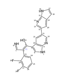 N=C/C(=C(\O)c1c[nH]c2ncc(-c3cnc4[nH]ccc4c3)cc12)c1cccc(F)c1F